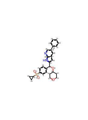 O=S(=O)(c1ccc(C(OC2CCOCC2)c2cc3cc(-c4ccccc4)cnc3[nH]2)cc1)C1CC1